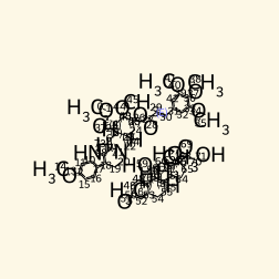 COC(=O)[C@H]1[C@H]2C[C@@H]3c4[nH]c5cc(OC)ccc5c4CCN3C[C@H]2C[C@@H](OC(=O)/C=C/c2cc(OC)c(OC)c(OC)c2)[C@@H]1OC.C[C@]12CCC(=O)C=C1CC[C@@H]1[C@@H]2[C@@H](O)C[C@@]2(C)[C@H]1CC[C@]2(O)C(=O)CO